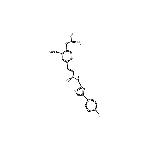 C=C(CCC)Oc1ccc(/C=C/C(=O)Nc2nc(-c3ccc(Cl)cc3)cs2)cc1OC